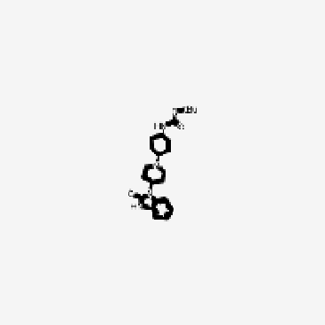 CC(C)(C)OC(=O)N[C@H]1CC[C@H](N2CCC(n3c(=O)[nH]c4ccccc43)CC2)CC1